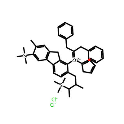 Cc1cc2c(cc1[Si](C)(C)C)-c1ccc(CC(C)C(C)[Si](C)(C)C)[c]([Zr+2]([C]3=CC=CC3)=[C](Cc3ccccc3)Cc3ccccc3)c1C2.[Cl-].[Cl-]